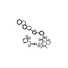 CC(C)OC(=O)N(OC1CCCCO1)c1cccc(-c2ccc(C3=Cc4ccc5c(c4CC3)CCc3ccccc3-5)s2)c1.NC(=O)CC1C=CC=CS1(=O)=O